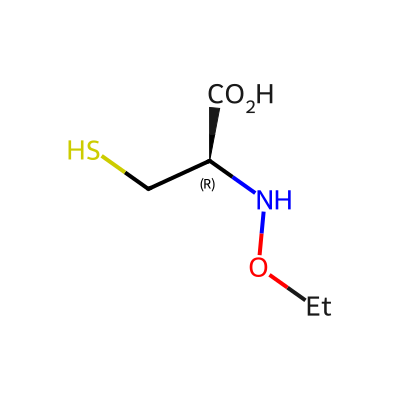 CCON[C@@H](CS)C(=O)O